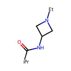 CCN1CC(NC(=O)C(C)C)C1